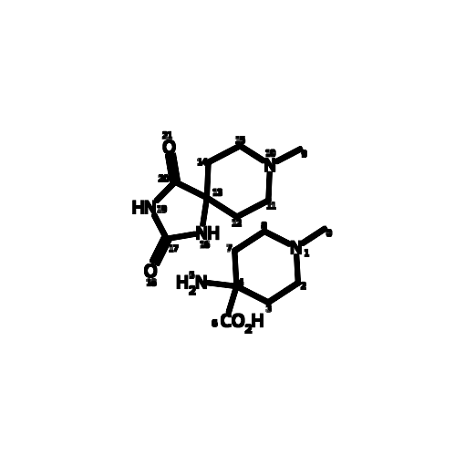 CN1CCC(N)(C(=O)O)CC1.CN1CCC2(CC1)NC(=O)NC2=O